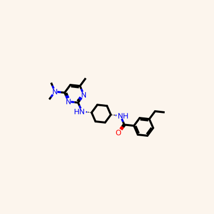 CCc1cccc(C(=O)N[C@H]2CC[C@@H](Nc3nc(C)cc(N(C)C)n3)CC2)c1